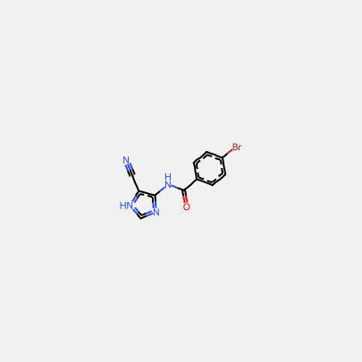 N#Cc1[nH]cnc1NC(=O)c1ccc(Br)cc1